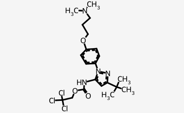 CN(C)CCCOc1ccc(-n2nc(C(C)(C)C)cc2NC(=O)OCC(Cl)(Cl)Cl)cc1